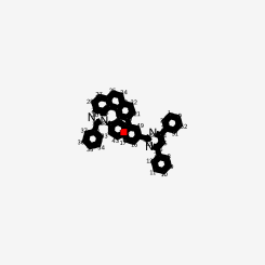 c1ccc(-c2cc(-c3ccccc3)nc(-c3cccc(-c4ccc5ccc6ccc7nc(-c8ccccc8)n(-c8ccccc8)c7c6c5c4)c3)n2)cc1